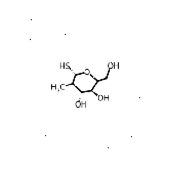 CC1[C@H](S)OC(CO)[C@@H](O)[C@@H]1O